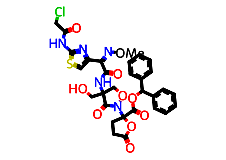 CO/N=C(\C(=O)NC1(CO)CON(C2(C(=O)OC(c3ccccc3)c3ccccc3)CCC(=O)O2)C1=O)c1csc(NC(=O)CCl)n1